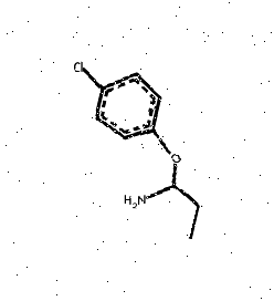 C[CH]C(N)Oc1ccc(Cl)cc1